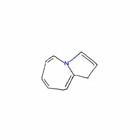 C1=CC=C2CC=CN2C=C1